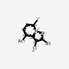 CCc1nn2c(I)ccc(C(C)=O)c2c1Cl